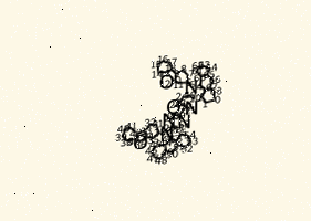 c1ccc2c(N(c3ccc4c(c3)oc3ccccc34)c3cnc4c(c3)oc3nc(N(c5ccc6c(c5)oc5ccccc56)c5c6ccccc6cc6ccccc56)cnc34)c3ccccc3cc2c1